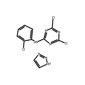 Clc1nc(Cl)nc(Nc2ccccc2Cl)n1.c1c[nH]nn1